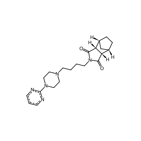 O=C1[C@@H]2[C@@H]3CC[C@@H](C3)[C@@H]2C(=O)N1CCCCN1CCN(c2ncccn2)CC1